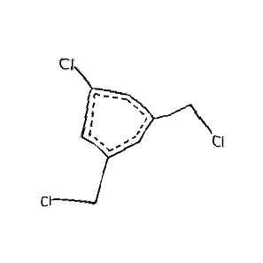 ClCc1cc(Cl)cc(CCl)c1